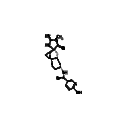 CN1C(=N)N[C@](C[C@H]2CCC[C@@H](NC(=O)c3ccc(O)nc3)C2)(C2CC2)C1=O